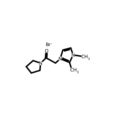 Cc1n(C)cc[n+]1CC(=O)N1CCCC1.[Br-]